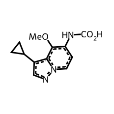 COc1c(NC(=O)O)ccn2ncc(C3CC3)c12